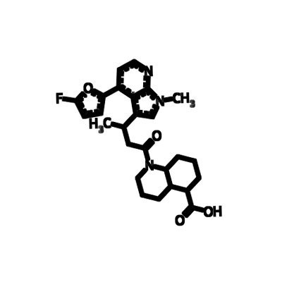 CC(CC(=O)N1CCCC2C(C(=O)O)CCCC21)c1cn(C)c2nccc(-c3ccc(F)o3)c12